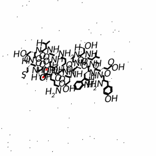 CSCC[C@H](NC(=O)[C@H](CC(=O)O)NC(=O)[C@@H](NC(=O)[C@H](C)NC(=O)[C@@H](NC(=O)[C@H](CCCCN)NC(=O)[C@H](CCCCN)NC(=O)[C@H](CC(=O)O)NC(=O)[C@H](C)NC(=O)[C@H](C)NC(=O)[C@@H](NC(=O)[C@@H](NC(=O)[C@H](Cc1c[nH]c2ccccc12)NC(=O)[C@H](CCC(=O)O)NC(=O)[C@@H](N)Cc1ccc(O)cc1)C(C)C)[C@@H](C)O)[C@@H](C)O)C(C)C)C(=O)N[C@@H](CO)C(=O)O